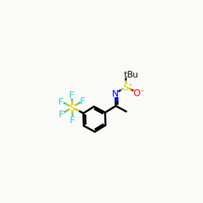 CC(=N[S+]([O-])C(C)(C)C)c1cccc(S(F)(F)(F)(F)F)c1